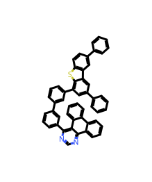 c1ccc(-c2ccc3sc4c(-c5cccc(-c6cccc(-c7ncnc8c9ccccc9c9ccccc9c78)c6)c5)cc(-c5ccccc5)cc4c3c2)cc1